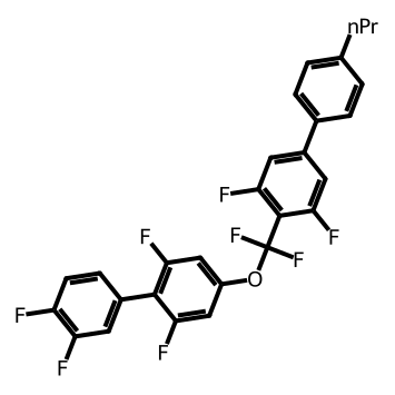 CCCc1ccc(-c2cc(F)c(C(F)(F)Oc3cc(F)c(-c4ccc(F)c(F)c4)c(F)c3)c(F)c2)cc1